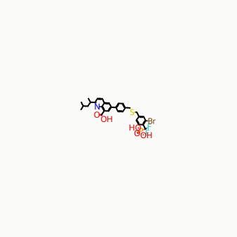 CC(C)CC(C)c1ccc2cc(-c3ccc(CSCc4ccc(C(F)(F)P(=O)(O)O)c(Br)c4)cc3)cc(C(=O)O)c2n1